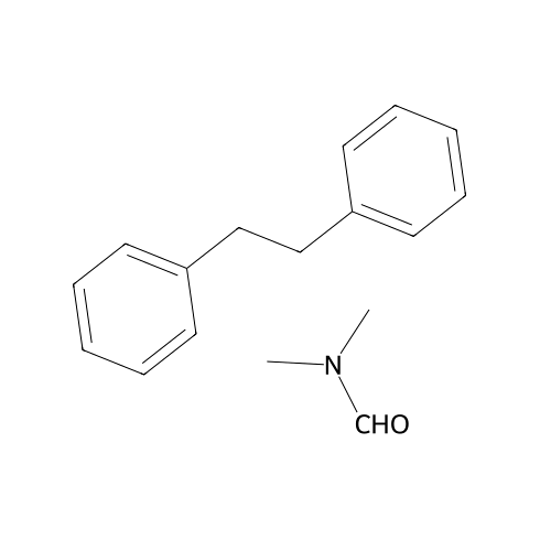 CN(C)C=O.c1ccc(CCc2ccccc2)cc1